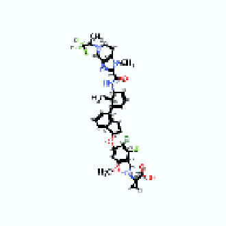 COc1cc(OC2CCc3c(-c4cccc(NC(=O)c5nc6c(n5C)CCN(C(C)C(F)(F)F)C6)c4C)cccc32)c(Cl)c(F)c1CNC1(C(=O)O)CC1